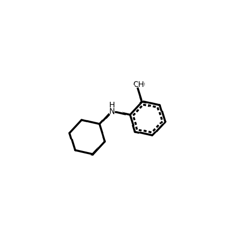 [CH]c1ccccc1NC1CCCCC1